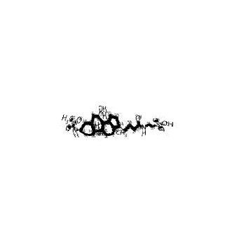 C[C@]12CC[C@H]3[C@@H]([C@@H](O)CC4C[C@H](NS(C)(=O)=O)CC[C@@]43C)[C@@H]1CC[C@@H]2CCCC(=O)NCCS(=O)(=O)O